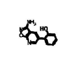 Nc1noc2ncc(-c3ccccc3O)cc12